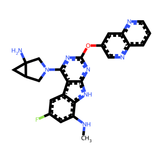 CNc1cc(F)cc2c1[nH]c1nc(Oc3cnc4cccnc4c3)nc(N3CC4CC4(N)C3)c12